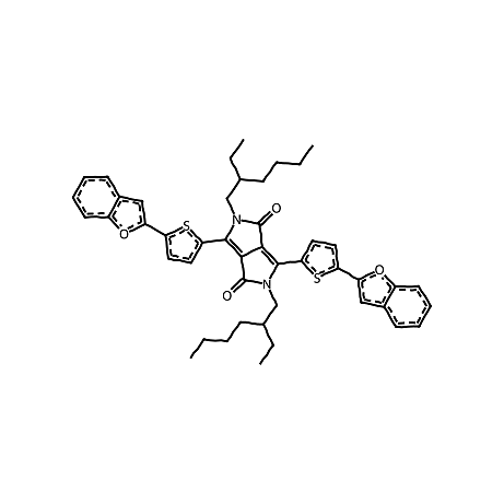 CCCCC(CC)CN1C(=O)C2=C(c3ccc(-c4cc5ccccc5o4)s3)N(CC(CC)CCCC)C(=O)C2=C1c1ccc(-c2cc3ccccc3o2)s1